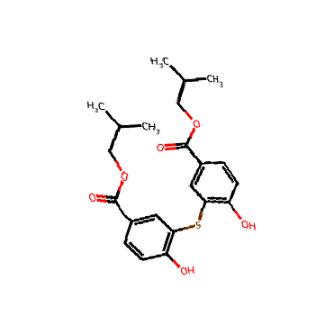 CC(C)COC(=O)c1ccc(O)c(Sc2cc(C(=O)OCC(C)C)ccc2O)c1